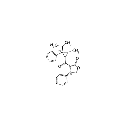 CC(C)[C@@]1(c2ccccc2)C(C)C1C(=O)N1C(=O)OC[C@H]1c1ccccc1